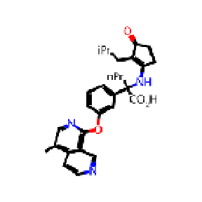 CCCC(NC1=C(CC(C)C)C(=O)CC1)(C(=O)O)c1cccc(Oc2ncc(C)c3ccncc23)c1